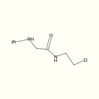 CC(C)NCC(=O)NCCCl